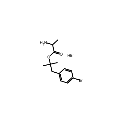 Br.CC(N)C(=O)OC(C)(C)Cc1ccc(Br)cc1